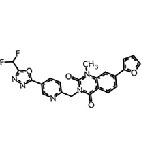 Cn1c(=O)n(Cc2ccc(-c3nnc(C(F)F)o3)cn2)c(=O)c2ccc(-c3ccco3)cc21